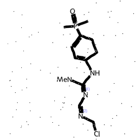 CN/C(=N\C=N/CCl)NC1=CC=C(P(C)(C)=O)CC1